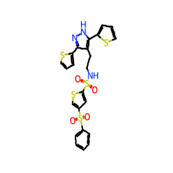 O=S(=O)(NCCc1c(-c2cccs2)n[nH]c1-c1cccs1)c1cc(S(=O)(=O)c2ccccc2)cs1